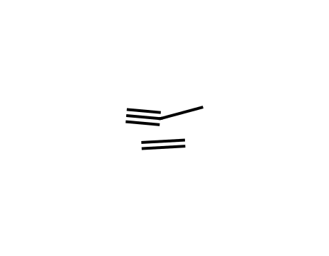 C#CC.C=C